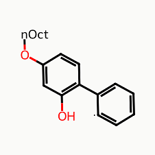 CCCCCCCCOc1ccc(-c2[c]cccc2)c(O)c1